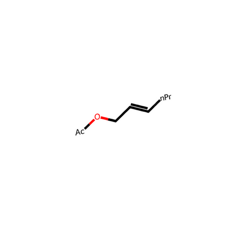 CCCC=CCOC(C)=O